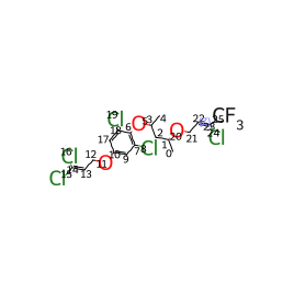 CC(CC(C)Oc1c(Cl)cc(OCC=C(Cl)Cl)cc1Cl)OC/C=C(\Cl)C(F)(F)F